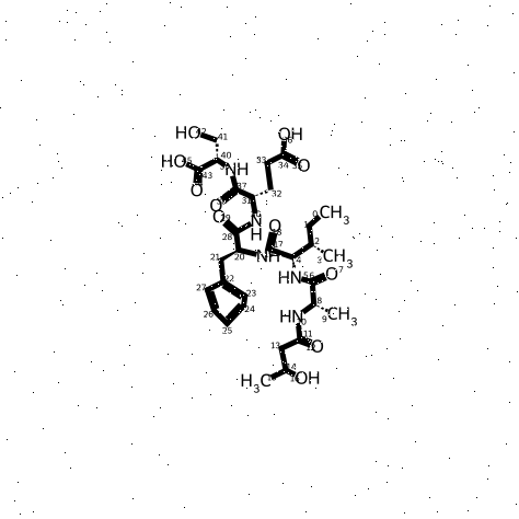 CC[C@H](C)[C@H](NC(=O)[C@H](C)NC(=O)CC(C)O)C(=O)N[C@@H](Cc1ccccc1)C(=O)N[C@@H](CCC(=O)O)C(=O)N[C@@H](CO)C(=O)O